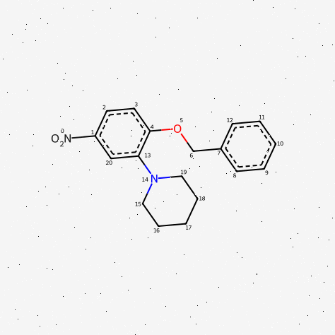 O=[N+]([O-])c1ccc(OCc2ccccc2)c(N2CCCCC2)c1